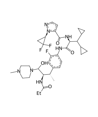 CCC(=O)N[C@@H](C(O)N1CCN(C)CC1)[C@@H](C)c1ccc(NC(=O)[C@@H](NC(=O)c2ccnn2[C@@H]2CC2(F)F)C(C2CC2)C2CC2)c(F)c1